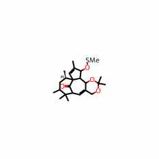 CSOC1C(C)=CC23C(=O)C(C=C4COC(C)(C)OC4C12)C(C)(C)C(C)C[C@H]3C